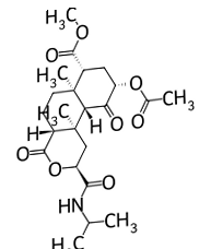 COC(=O)[C@@H]1C[C@H](OC(C)=O)C(=O)[C@H]2[C@@]1(C)CC[C@H]1C(=O)O[C@H](C(=O)NC(C)C)C[C@]21C